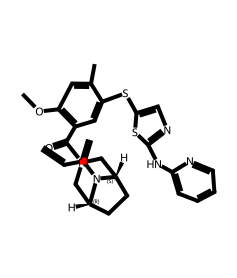 C=CC(=C)N1[C@@H]2CC[C@H]1CN(C(=O)c1cc(Sc3cnc(Nc4ccccn4)s3)c(C)cc1OC)C2